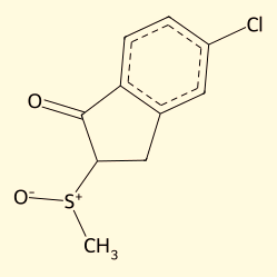 C[S+]([O-])C1Cc2cc(Cl)ccc2C1=O